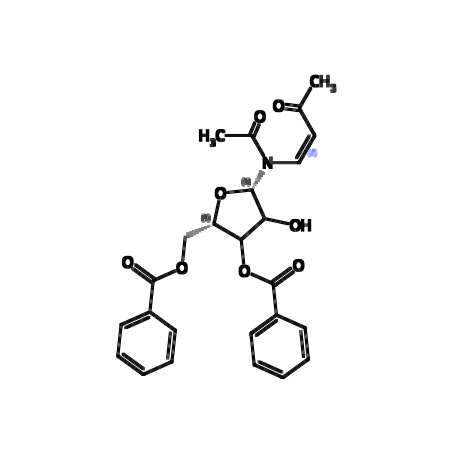 CC(=O)/C=C\N(C(C)=O)[C@H]1O[C@@H](COC(=O)c2ccccc2)C(OC(=O)c2ccccc2)C1O